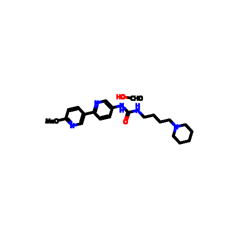 COc1ccc(-c2ccc(NC(=O)NCCCCN3CCCCC3)cn2)cn1.O=CO